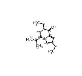 CCc1cc2c(=O)n(CC)nc(C(C)C)n2n1